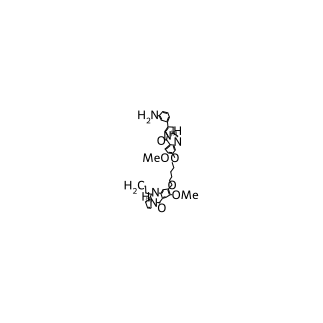 C=CCC1=Nc2cc(OCCCCCOc3cc4c(cc3OC)C(=O)N3C=C(c5cccc(N)c5)C[C@H]3C=N4)c(OC)cc2C(=O)N2C=CC[C@@H]12